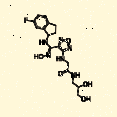 O=C(CNc1nonc1/C(=N/O)NC1CCc2ccc(F)cc21)NCC(O)CO